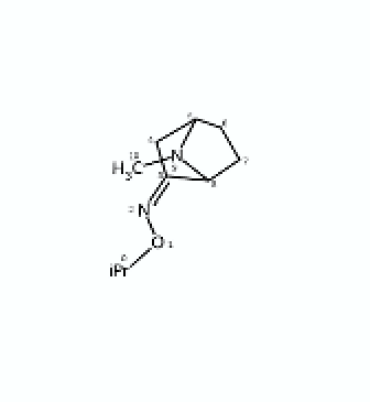 CC(C)O/N=C1/CC2CCC1N2C